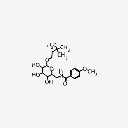 COc1ccc(C(=O)NCC2OC(OCCC(C)(C)C)C(O)C(O)C2O)cc1